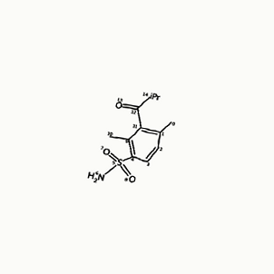 Cc1ccc(S(N)(=O)=O)c(C)c1C(=O)C(C)C